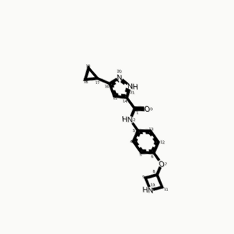 O=C(Nc1ccc(OC2CNC2)cc1)c1cc(C2CC2)n[nH]1